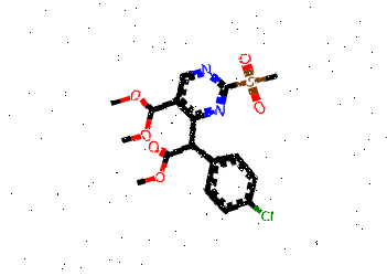 COC(=O)C(c1ccc(Cl)cc1)c1nc(S(C)(=O)=O)ncc1C(OC)OC